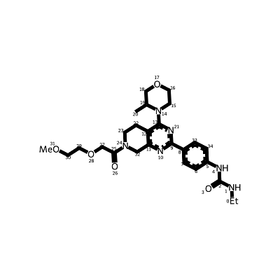 CCNC(=O)Nc1ccc(-c2nc3c(c(N4CCOCC4C)n2)CCN(C(=O)COCCOC)C3)cc1